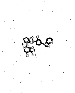 Nc1noc2c(N3C[C@@H]4CC[C@H]3[C@@H]4NC(=O)c3ccc(-n4cnc5ncccc54)cc3Cl)ncc(Cl)c12